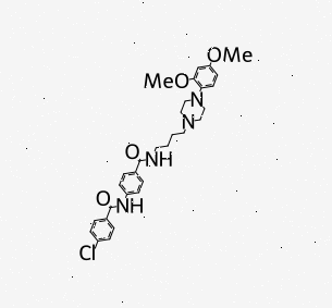 COc1ccc(N2CCN(CCCCNC(=O)c3ccc(NC(=O)c4ccc(Cl)cc4)cc3)CC2)c(OC)c1